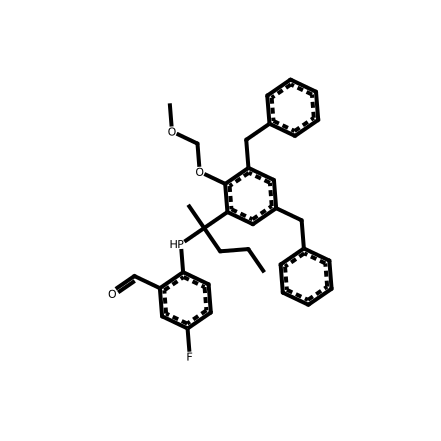 CCCC(C)(Pc1ccc(F)cc1C=O)c1cc(Cc2ccccc2)cc(Cc2ccccc2)c1OCOC